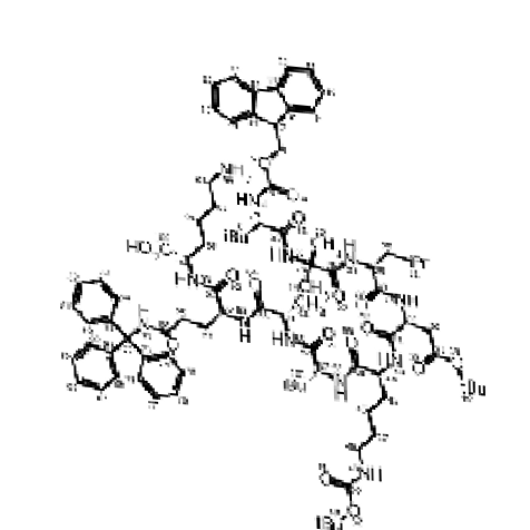 CC[C@H](C)[C@H](NC(=O)OCC1c2ccccc2-c2ccccc21)C(=O)NC(C)(C)C(=O)N[C@@H](CC(C)C)C(=O)N[C@@H](CC(=O)OC(C)(C)C)C(=O)N[C@@H](CCCCNC(=O)OC(C)(C)C)C(=O)N[C@H](C(=O)N[C@@H](C)C(=O)N[C@@H](CCC(=O)NC(c1ccccc1)(c1ccccc1)c1ccccc1)C(=O)N[C@@H](CCCCN)C(=O)O)[C@@H](C)CC